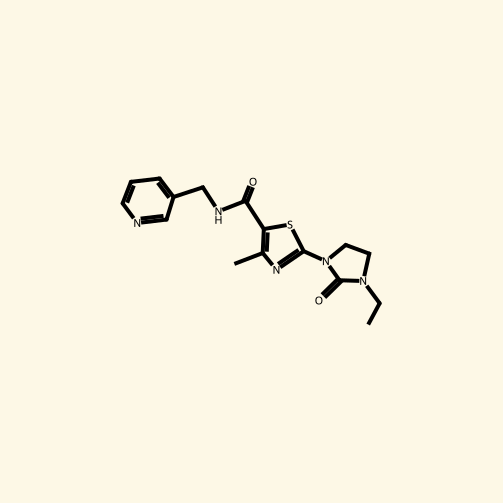 CCN1CCN(c2nc(C)c(C(=O)NCc3cccnc3)s2)C1=O